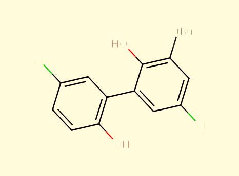 CC(C)(C)c1cc(Cl)cc(-c2cc(Cl)ccc2O)c1O